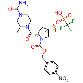 CC1CN(C(N)=O)CCN1C(=O)[C@@H]1C[C@H](S)CN1C(=O)OCc1ccc([N+](=O)[O-])cc1.O=S(=O)(O)C(F)(F)F